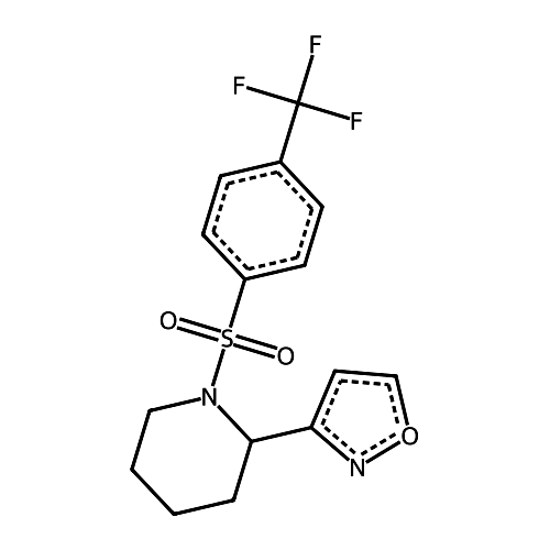 O=S(=O)(c1ccc(C(F)(F)F)cc1)N1CCCCC1c1ccon1